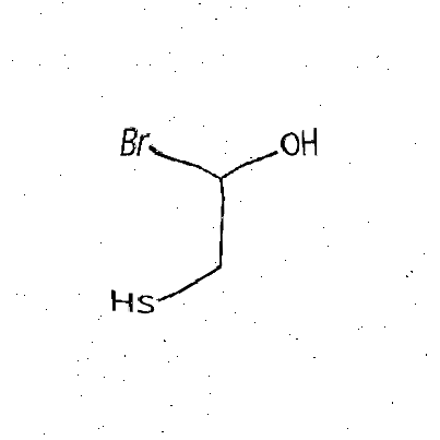 OC(Br)CS